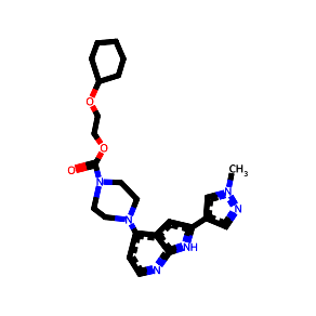 Cn1cc(-c2cc3c(N4CCN(C(=O)OCCOC5CCCCC5)CC4)ccnc3[nH]2)cn1